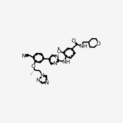 COc1cc(C(=O)NCC2CCOCC2)ccc1Nc1ncc(-c2ccc(C#N)c(O[C@@H](C)Cn3cncn3)c2)cn1